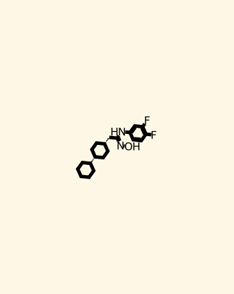 ON=C(C[C@H]1CC[C@@H](C2CCCCC2)CC1)Nc1ccc(F)c(F)c1